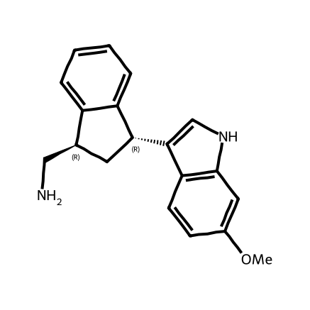 COc1ccc2c([C@@H]3C[C@@H](CN)c4ccccc43)c[nH]c2c1